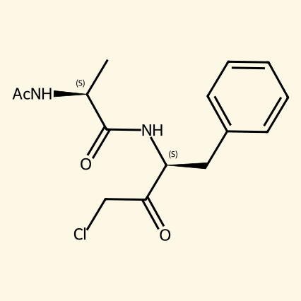 CC(=O)N[C@@H](C)C(=O)N[C@@H](Cc1ccccc1)C(=O)CCl